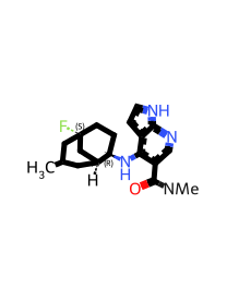 CNC(=O)c1cnc2[nH]ccc2c1N[C@@H]1CC[C@]2(F)CC(C)C[C@H]1C2